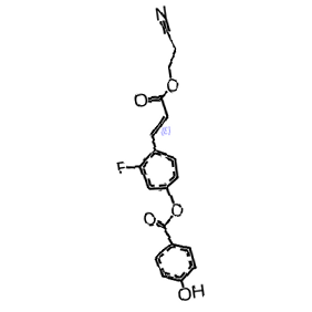 N#CCCOC(=O)/C=C/c1ccc(OC(=O)c2ccc(O)cc2)cc1F